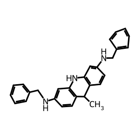 CC1c2ccc(NCc3ccccc3)cc2Nc2cc(NCc3ccccc3)ccc21